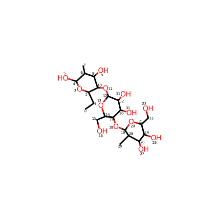 CCC1OC(O)C(C)C(O)C1OC1OC(CO)C(OC2OC(CO)C(O)C(O)C2C)C(O)C1O